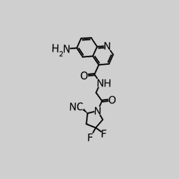 N#C[C@@H]1CC(F)(F)CN1C(=O)CNC(=O)c1ccnc2ccc(N)cc12